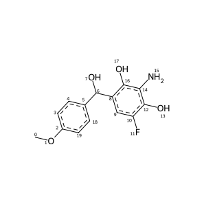 COc1ccc(C(O)c2cc(F)c(O)c(N)c2O)cc1